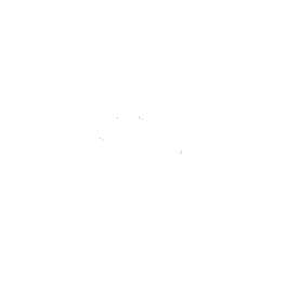 Brc1[c]cnnn1